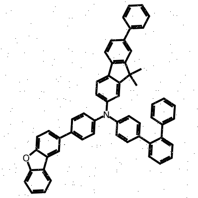 CC1(C)c2cc(-c3ccccc3)ccc2-c2ccc(N(c3ccc(-c4ccc5oc6ccccc6c5c4)cc3)c3ccc(-c4ccccc4-c4ccccc4)cc3)cc21